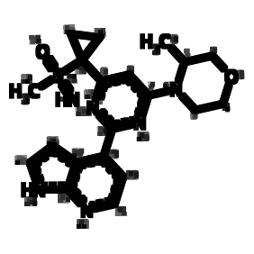 CC1COCCN1c1cc(C2(S(C)(=N)=O)CC2)nc(-c2ccnc3[nH]ccc23)n1